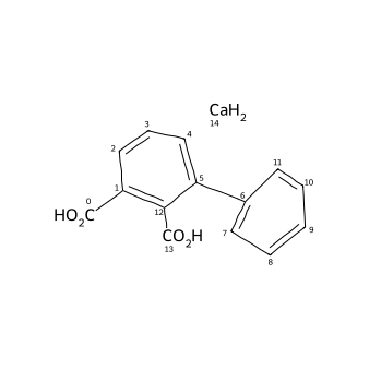 O=C(O)c1cccc(-c2ccccc2)c1C(=O)O.[CaH2]